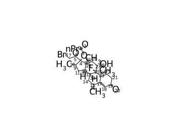 CCCC(=O)O[C@]1(C(=O)CBr)[C@H](C)C[C@H]2[C@@H]3C[C@H](C)C4=CC(=O)CC[C@]4(C)[C@@]3(F)[C@@H](O)C[C@@]21C